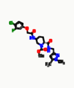 Cn1nc(CNC(=O)[C@H]2CC[C@H](NC(=O)COc3ccc(Cl)c(F)c3)CN2C(=O)OC(C)(C)C)cc1C(F)(F)F